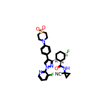 N#CC1(NC(=O)[C@@H]2C[C@@H](F)CC[C@H]2c2nn(-c3ncccc3F)cc2-c2ccc(N3CCS(=O)(=O)CC3)cc2)CC1